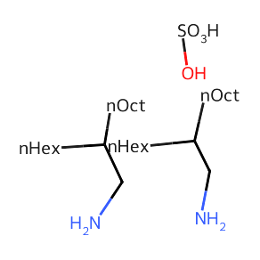 CCCCCCCCC(CN)CCCCCC.CCCCCCCCC(CN)CCCCCC.O=S(=O)(O)O